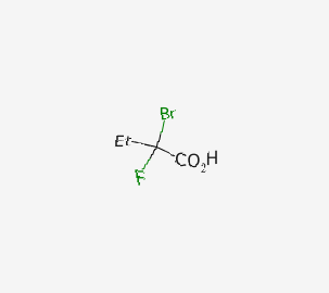 CCC(F)(Br)C(=O)O